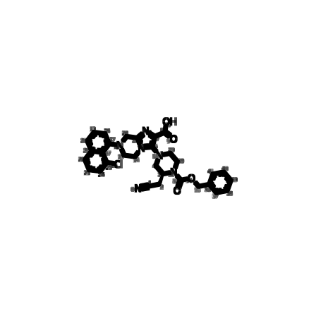 N#CC[C@H]1CN(c2c(C(=O)O)nc3n2CCN(c2cccc4cccc(Cl)c24)C3)CCN1C(=O)OCc1ccccc1